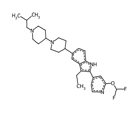 CCc1c(-c2ccnc(OC(F)F)c2)[nH]c2ccc(C3CCN(C4CCN(CC(C)C)CC4)CC3)cc12